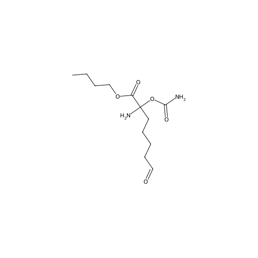 CCCCOC(=O)C(N)(CCCCC=O)OC(N)=O